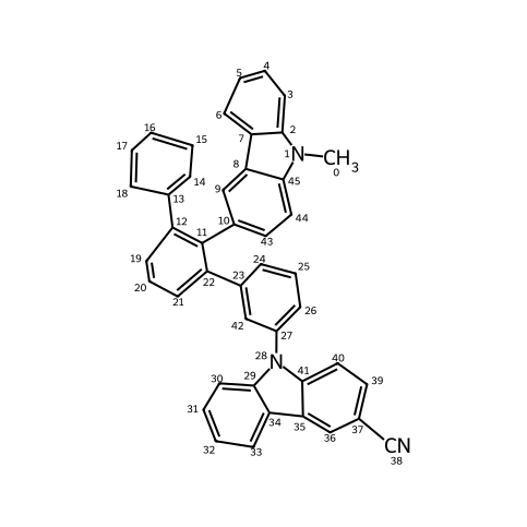 Cn1c2ccccc2c2cc(-c3c(-c4ccccc4)cccc3-c3cccc(-n4c5ccccc5c5cc(C#N)ccc54)c3)ccc21